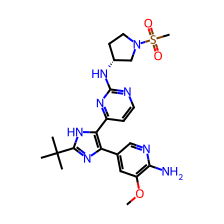 COc1cc(-c2nc(C(C)(C)C)[nH]c2-c2ccnc(N[C@@H]3CCN(S(C)(=O)=O)C3)n2)cnc1N